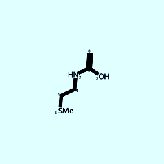 C=C(O)NCCSC